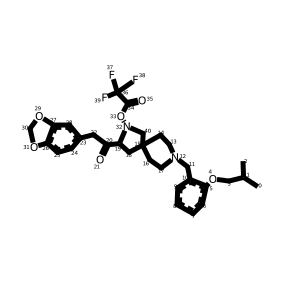 CC(C)COc1ccccc1CN1CCC2(CC1)CC(C(=O)Cc1ccc3c(c1)OCO3)N(OC(=O)C(F)(F)F)C2